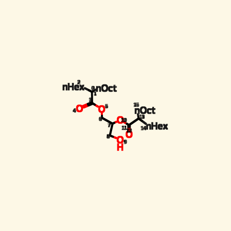 CCCCCCCCC(CCCCCC)C(=O)OCC(CO)OC(=O)C(CCCCCC)CCCCCCCC